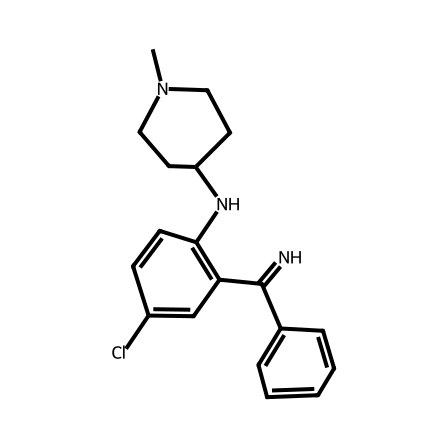 CN1CCC(Nc2ccc(Cl)cc2C(=N)c2ccccc2)CC1